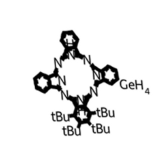 CC(C)(C)c1c(C(C)(C)C)c(C(C)(C)C)c2c3nc4nc(nc5[nH]c(nc6nc(nc([nH]3)c2c1C(C)(C)C)-c1ccccc1-6)c1ccccc51)-c1ccccc1-4.[GeH4]